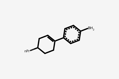 Bc1ccc(C2=CCC(CCC)CC2)cc1